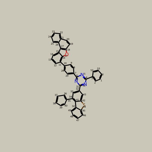 c1ccc(-c2nc(-c3ccc(-c4cccc5c4oc4ccc6ccccc6c45)cc3)nc(-c3cc(-c4ccccc4)c4c(c3)sc3ccccc34)n2)cc1